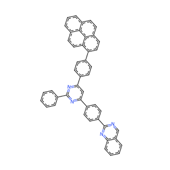 c1ccc(-c2nc(-c3ccc(-c4ncc5ccccc5n4)cc3)cc(-c3ccc(-c4ccc5ccc6cccc7ccc4c5c67)cc3)n2)cc1